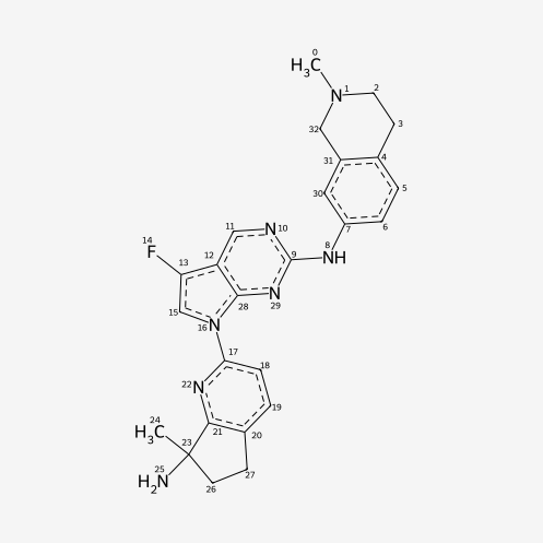 CN1CCc2ccc(Nc3ncc4c(F)cn(-c5ccc6c(n5)C(C)(N)CC6)c4n3)cc2C1